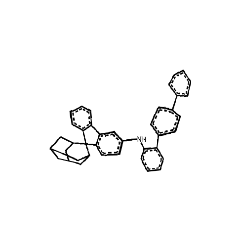 c1ccc(-c2ccc(-c3ccccc3Nc3ccc4c(c3)-c3ccccc3C43C4CC5CC(C4)CC3C5)cc2)cc1